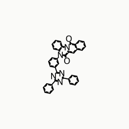 O=c1c2cc3ccccc3c(=O)n2c2ccccc2n1-c1cccc(-c2nc(-c3ccccc3)nc(-c3ccccc3)n2)c1